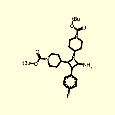 CC(C)(C)OC(=O)N1CCC(C2C(c3ccc(F)cc3)C(N)N2C2CCN(C(=O)OC(C)(C)C)CC2)CC1